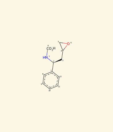 O=C(O)N[C@@H](CC1CO1)c1ccccc1